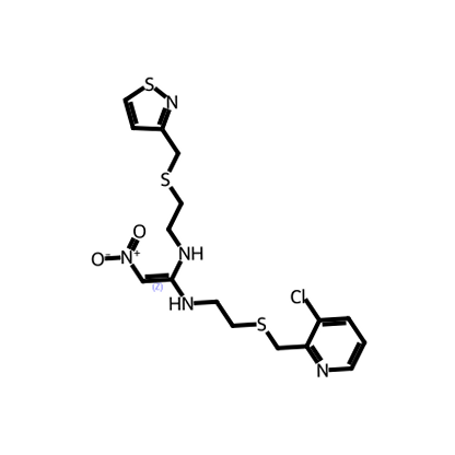 O=[N+]([O-])/C=C(\NCCSCc1ccsn1)NCCSCc1ncccc1Cl